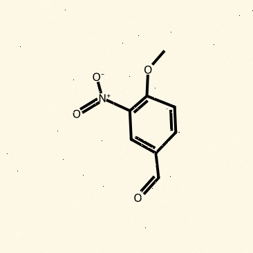 COc1c[c]c(C=O)cc1[N+](=O)[O-]